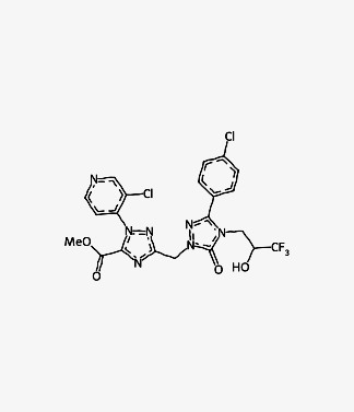 COC(=O)c1nc(Cn2nc(-c3ccc(Cl)cc3)n(CC(O)C(F)(F)F)c2=O)nn1-c1ccncc1Cl